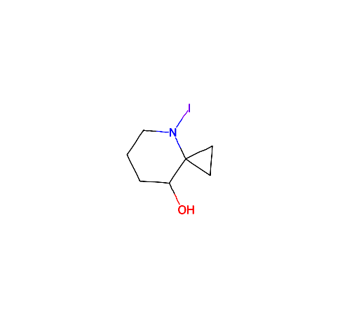 OC1CCCN(I)C12CC2